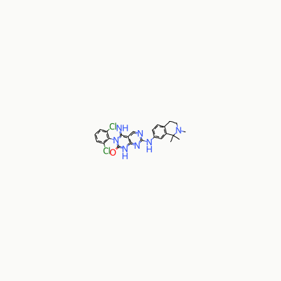 CN1CCc2ccc(Nc3ncc4c(=N)n(-c5c(Cl)cccc5Cl)c(=O)[nH]c4n3)cc2C1(C)C